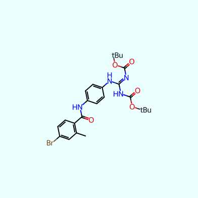 Cc1cc(Br)ccc1C(=O)Nc1ccc(NC(=NC(=O)OC(C)(C)C)NC(=O)OC(C)(C)C)cc1